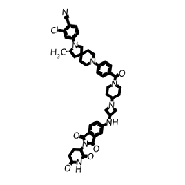 C[C@H]1CC2(CCN(c3ccc(C(=O)N4CCC(N5CC(Nc6ccc7c(c6)C(=O)N(C6CCC(=O)NC6=O)C7=O)C5)CC4)cc3)CC2)CN1c1ccc(C#N)c(Cl)c1